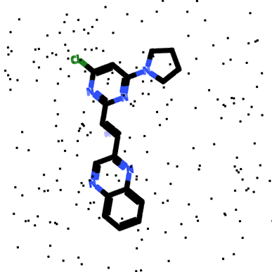 Clc1cc(N2CCCC2)nc(/C=C/c2cnc3ccccc3n2)n1